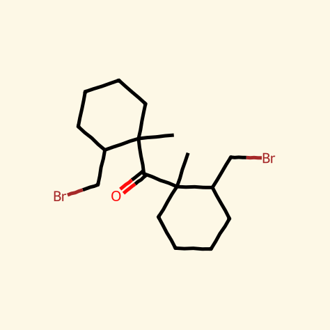 CC1(C(=O)C2(C)CCCCC2CBr)CCCCC1CBr